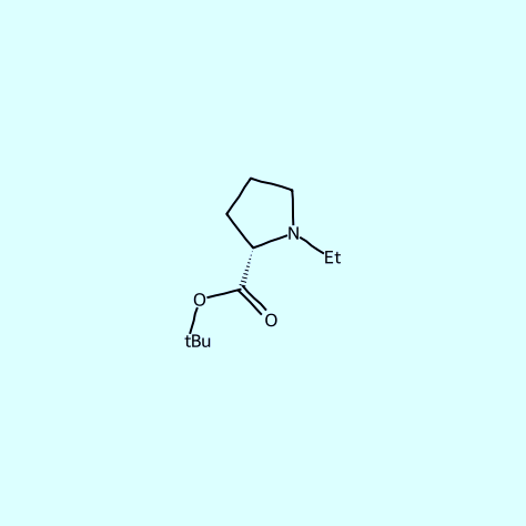 CCN1CCC[C@H]1C(=O)OC(C)(C)C